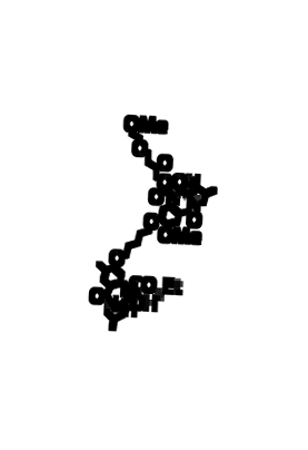 C=C1C[C@H]2[C@H](O)N(C(=O)OCC)c3cc(OCCCCCOc4cc5c(cc4OC)C(=O)N4CC(=C)C[C@H]4[C@H](O)N5C(=O)OCC(=O)CCOCCOC)c(C)cc3C(=O)N2C1